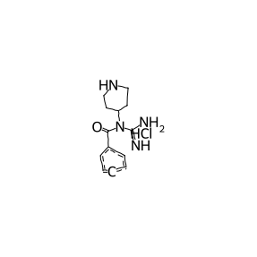 Cl.N=C(N)N(C(=O)c1ccccc1)C1CCNCC1